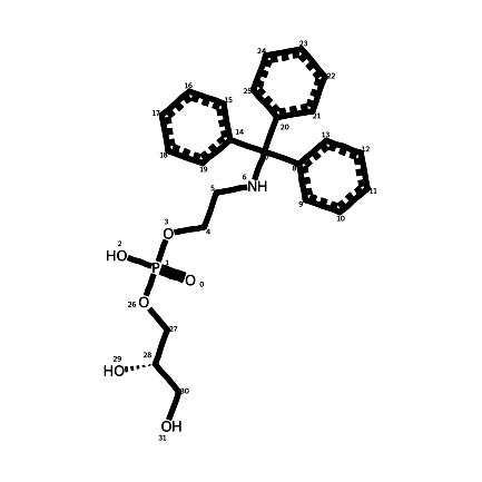 O=P(O)(OCCNC(c1ccccc1)(c1ccccc1)c1ccccc1)OC[C@@H](O)CO